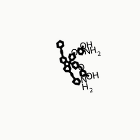 Nc1ccc(Oc2ccc(C3(c4ccc(Oc5ccc(N)c(O)c5)cc4)c4cc(C#Cc5ccccc5)ccc4-c4ccc(C#Cc5ccccc5)cc43)cc2)cc1O